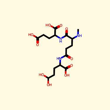 CNC(CCC(=O)NC(CCC(O)O)C(=O)O)C(=O)NC(CCC(=O)O)C(=O)O